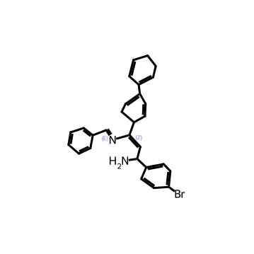 NC(/C=C(\N=C\c1ccccc1)C1C=CC(C2=CCCC=C2)=CC1)c1ccc(Br)cc1